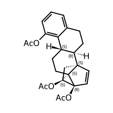 CC(=O)Oc1cccc2c1[C@H]1CC[C@@]3(C)[C@]4(C=C[C@]3(OC(C)=O)[C@@H](OC(C)=O)C4)[C@@H]1CC2